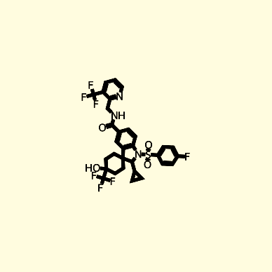 O=C(NCc1ncccc1C(F)(F)F)c1ccc2c(c1)C1(CCC(O)(C(F)(F)F)CC1)C(C1CC1)N2S(=O)(=O)c1ccc(F)cc1